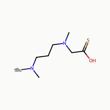 CN(CCCN(C)C(C)(C)C)CC(O)=S